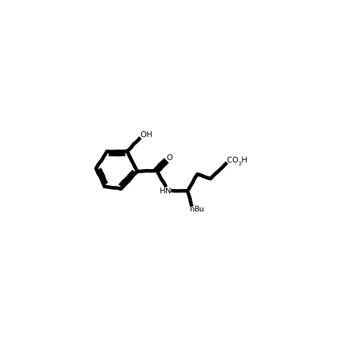 CCCCC(CCC(=O)O)NC(=O)c1ccccc1O